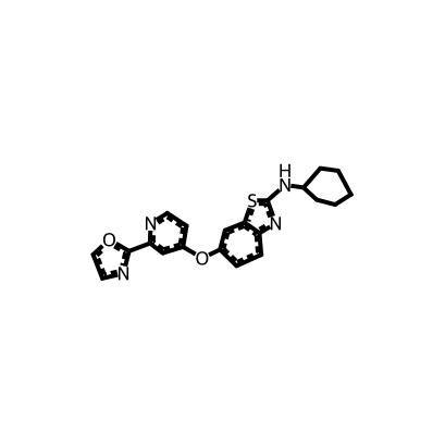 c1cc(Oc2ccc3nc(NC4CCCCC4)sc3c2)cc(-c2ncco2)n1